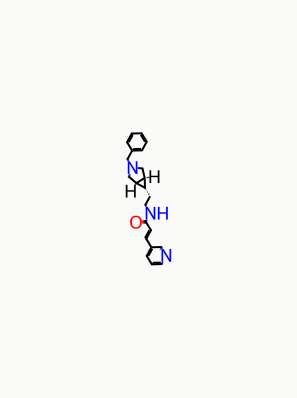 O=C(/C=C/c1cccnc1)NCC[C@@H]1[C@H]2CN(Cc3ccccc3)C[C@@H]12